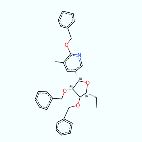 CC[C@H]1O[C@@H](c2cnc(OCc3ccccc3)c(C)c2)[C@@H](OCc2ccccc2)C1OCc1ccccc1